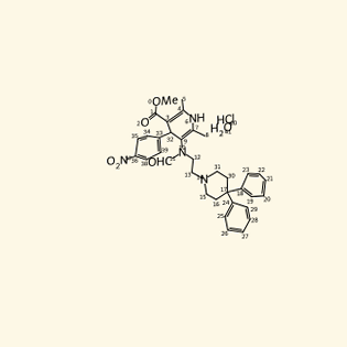 COC(=O)C1=C(C)NC(C)=C(N(C=O)CCN2CCC(c3ccccc3)(c3ccccc3)CC2)C1c1ccc([N+](=O)[O-])cc1.Cl.O